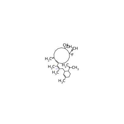 C#CC1(F)CCCCC(/C(C)=C(/C)CC2C=C(C)CCC2C(=C)C)=CC(=C)CCCCC(C)(C)C1